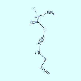 C=CCNC#COC(=O)[C@H](C)N